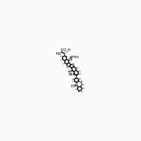 CCCCCCOc1c2cc(/C=C(\C#N)C(=O)O)ccc2cc2sc3c(sc4cc5ccc(-c6ccc7c(c6)CCc6ccccc6N7CC)cc5c(OCCCCCC)c43)c12